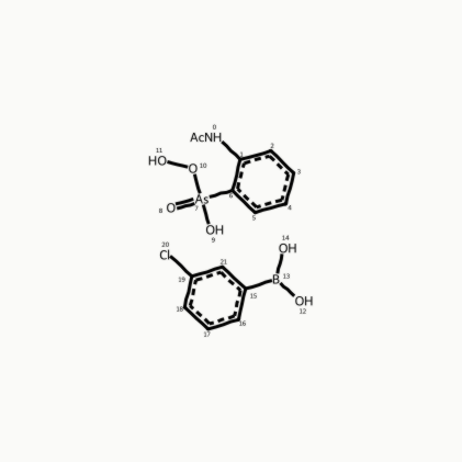 CC(=O)Nc1ccccc1[As](=O)(O)OO.OB(O)c1cccc(Cl)c1